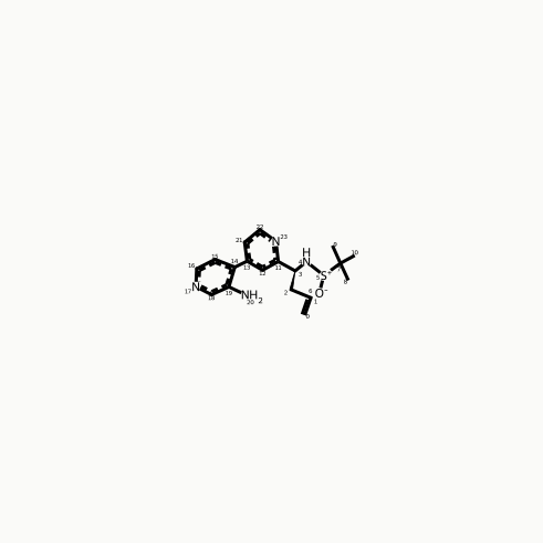 C=CC[C@H](N[S+]([O-])C(C)(C)C)c1cc(-c2ccncc2N)ccn1